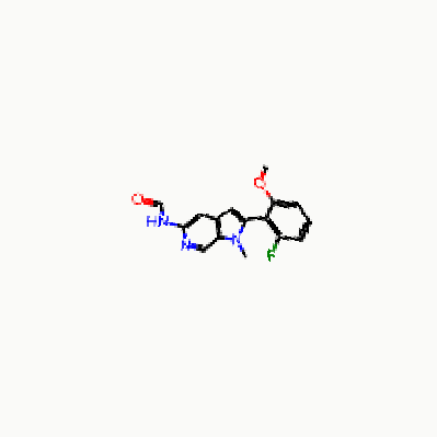 COc1cccc(F)c1-c1cc2cc(NC=O)ncc2n1C